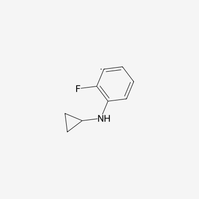 Fc1[c]cccc1NC1CC1